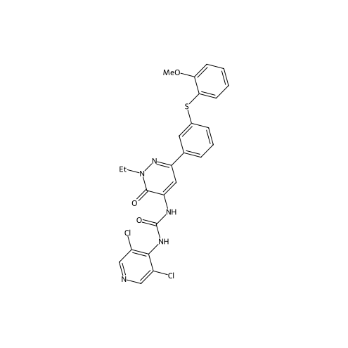 CCn1nc(-c2cccc(Sc3ccccc3OC)c2)cc(NC(=O)Nc2c(Cl)cncc2Cl)c1=O